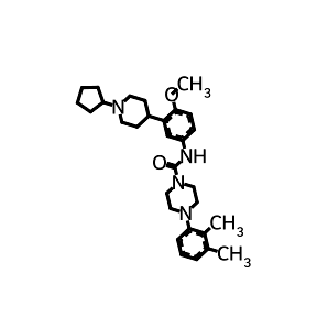 COc1ccc(NC(=O)N2CCN(c3cccc(C)c3C)CC2)cc1C1CCN(C2CCCC2)CC1